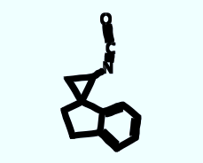 O=C=NC1CC12CCc1ccccc12